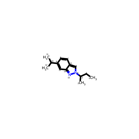 CCC(C)n1cc2ccc(C(C)C)cc2n1